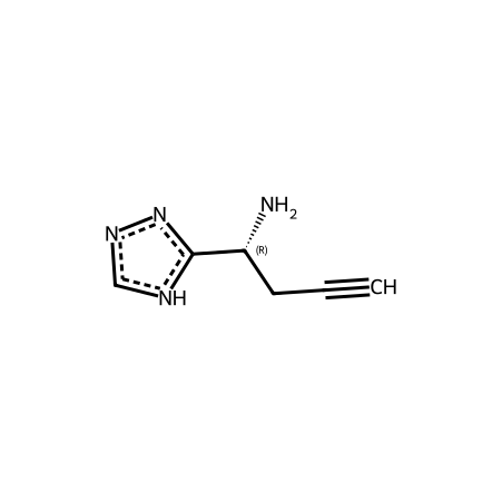 C#CC[C@@H](N)c1nnc[nH]1